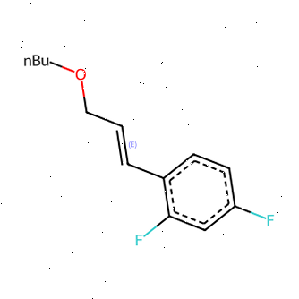 [CH2]CCCOC/C=C/c1ccc(F)cc1F